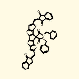 O=C1/C(=C\c2cc3sc4c(c3s2)C(C(=O)OCc2ccccc2)(C(=O)OCc2ccccc2)c2c-4sc3cc(C=C4C(=O)c5ccccc5C4=O)sc23)Cc2ccccc21